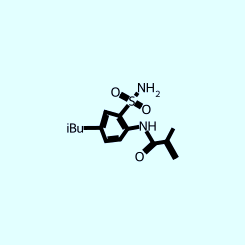 C=C(C)C(=O)Nc1ccc(C(C)CC)cc1S(N)(=O)=O